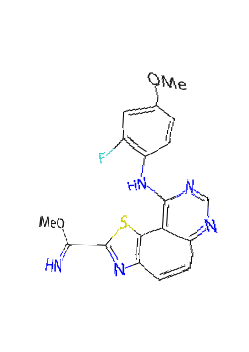 COC(=N)c1nc2ccc3ncnc(Nc4ccc(OC)cc4F)c3c2s1